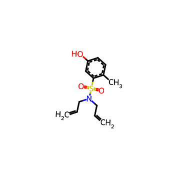 C=CCN(CC=C)S(=O)(=O)c1cc(O)ccc1C